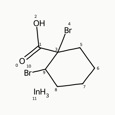 O=C(O)C1(Br)CCCCC1Br.[InH3]